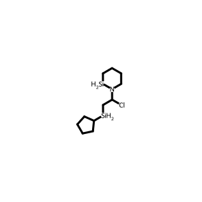 ClC(C[SiH2]C1CCCC1)N1CCCC[SiH2]1